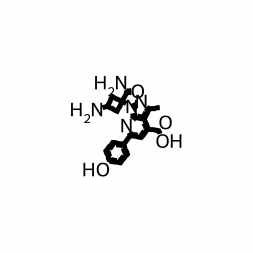 Cc1nn(C2(C(N)=O)CC(N)C2)c2nc(-c3ccc(O)cc3)cc(C(=O)O)c12